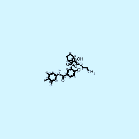 C=CCOC[C@@]1(O)CC2CCC1[C@@H]2S(=O)(=O)c1cc(C(=O)Nc2cc(F)c(F)c(F)c2)ccc1Cl